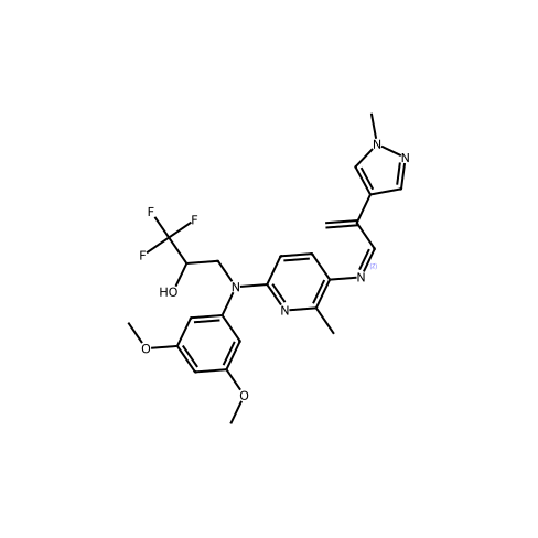 C=C(/C=N\c1ccc(N(CC(O)C(F)(F)F)c2cc(OC)cc(OC)c2)nc1C)c1cnn(C)c1